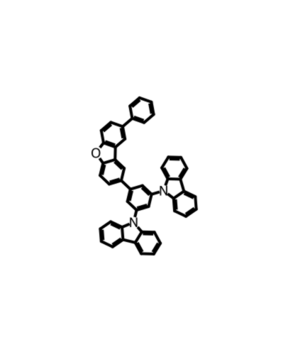 c1ccc(-c2ccc3oc4ccc(-c5cc(-n6c7ccccc7c7ccccc76)cc(-n6c7ccccc7c7ccccc76)c5)cc4c3c2)cc1